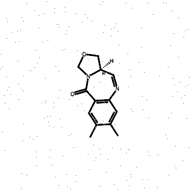 Cc1cc2c(cc1C)C(=O)N1COC[C@H]1C=N2